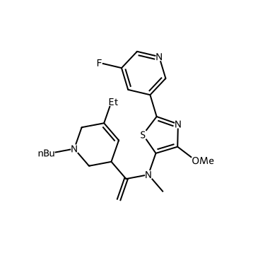 C=C(C1C=C(CC)CN(CCCC)C1)N(C)c1sc(-c2cncc(F)c2)nc1OC